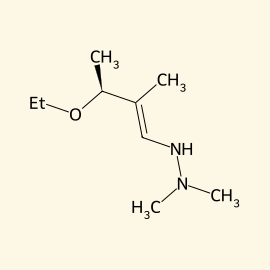 CCO[C@@H](C)/C(C)=C/NN(C)C